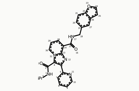 CC(C)NC(=O)c1c(-c2ccccn2)nc2c(C(=O)NCc3ccc4occc4c3)cccn12